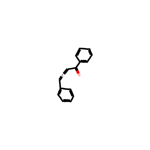 O=C(C=C=Cc1ccccc1)c1ccccc1